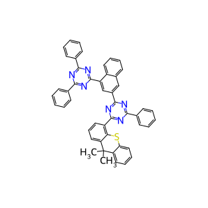 CC1(C)c2ccccc2Sc2c(-c3nc(-c4ccccc4)nc(-c4cc(-c5nc(-c6ccccc6)nc(-c6ccccc6)n5)c5ccccc5c4)n3)cccc21